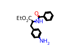 CCOC(=O)C(Cc1ccc(N)cc1)NC(=O)c1ccccc1